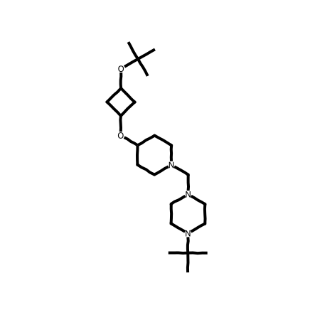 CC(C)(C)OC1CC(OC2CCN(CN3CCN(C(C)(C)C)CC3)CC2)C1